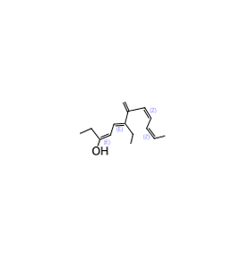 C=C(/C=C\C=C/C)/C(=C/C=C(/O)CC)CC